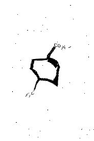 O=C(O)C1=CCC(C(F)(F)F)CC1